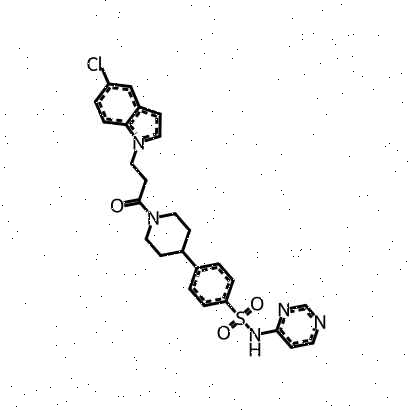 O=C(CCn1ccc2cc(Cl)ccc21)N1CCC(c2ccc(S(=O)(=O)Nc3ccncn3)cc2)CC1